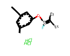 CC[C](CC)=[Ti]([F])[O]c1cc(C)cc(C)c1.Cl.Cl